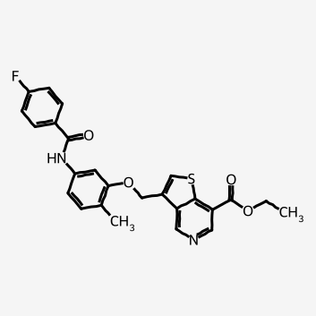 CCOC(=O)c1cncc2c(COc3cc(NC(=O)c4ccc(F)cc4)ccc3C)csc12